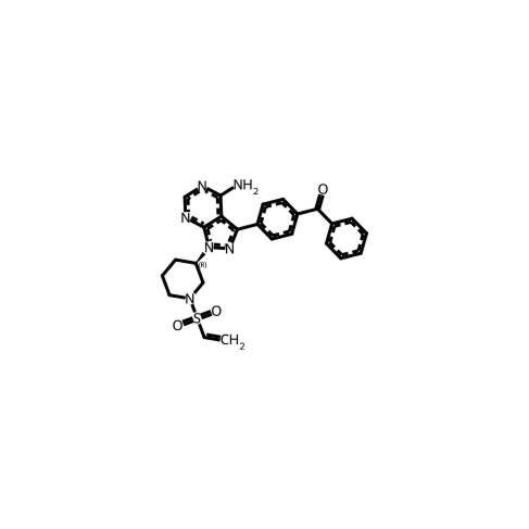 C=CS(=O)(=O)N1CCC[C@@H](n2nc(-c3ccc(C(=O)c4ccccc4)cc3)c3c(N)ncnc32)C1